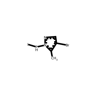 Cc1c(Br)cnn1PI